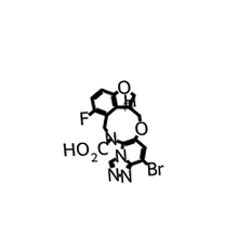 O=C(O)N1Cc2c(F)ccc3c2[C@H](CO3)COc2cc(Br)c3nncn3c21